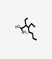 BC(O)C(CC)C(CC)CCCC